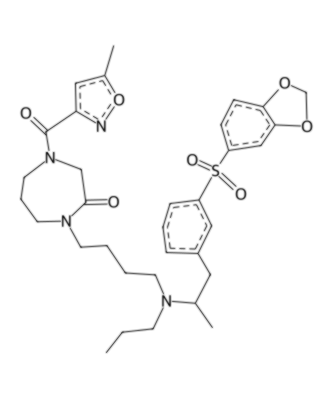 CCCN(CCCCN1CCCN(C(=O)c2cc(C)on2)CC1=O)C(C)Cc1cccc(S(=O)(=O)c2ccc3c(c2)OCO3)c1